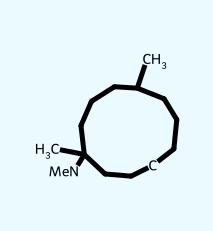 CNC1(C)CCCCCCC(C)CCC1